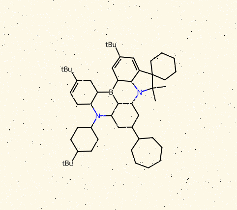 CC(C)(C)C1=CC2B3C4CC(C(C)(C)C)=CCC4N(C4CCC(C(C)(C)C)CC4)C4CC(C5CCCCCC5)CC(C34)N3C2C(=C1)C1(CCCCC1)C3(C)C